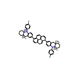 CC12CCCCC1(C)N(c1ccc(F)cc1)c1ccc(-c3ccc4c5c6c(ccc35)C=CC(c3ccc5c(c3)CC3(C)CCCCC3(C)N5c3ccc(F)cc3)C6=CC4)cc1C2